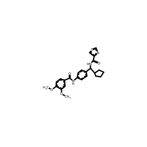 COc1ccc(C(=O)Nc2ccc(C(NC(=O)c3cscn3)C3CCCC3)cc2)cc1OC